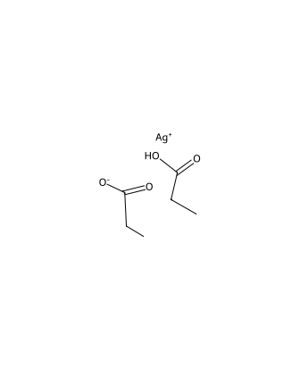 CCC(=O)O.CCC(=O)[O-].[Ag+]